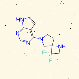 FC1(F)CNC12CCN(c1ncnc3[nH]ccc13)C2